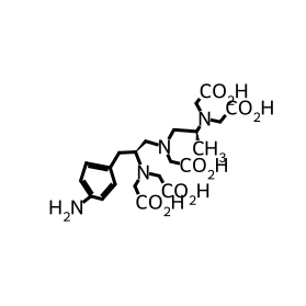 C[C@@H](CN(CC(=O)O)C[C@H](Cc1ccc(N)cc1)N(CC(=O)O)CC(=O)O)N(CC(=O)O)CC(=O)O